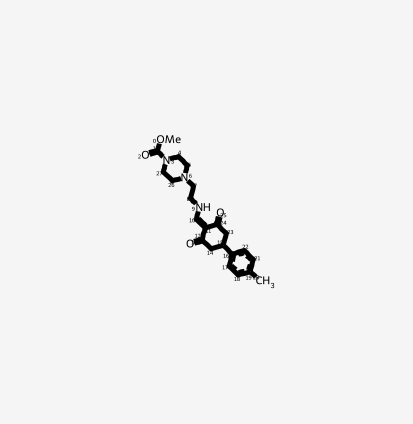 COC(=O)N1CCN(CCNC=C2C(=O)CC(c3ccc(C)cc3)CC2=O)CC1